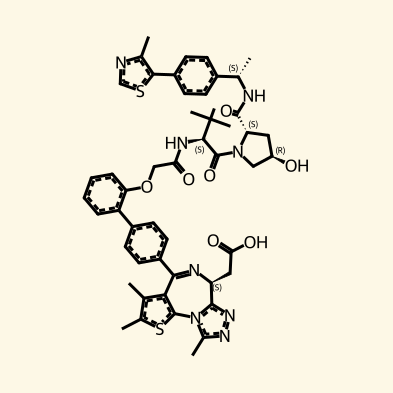 Cc1ncsc1-c1ccc([C@H](C)NC(=O)[C@@H]2C[C@@H](O)CN2C(=O)[C@@H](NC(=O)COc2ccccc2-c2ccc(C3=N[C@@H](CC(=O)O)c4nnc(C)n4-c4sc(C)c(C)c43)cc2)C(C)(C)C)cc1